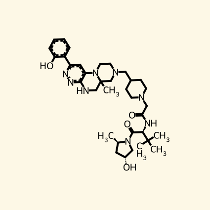 C[C@@H]1C[C@@H](O)CN1C(=O)[C@@H](NC(=O)CN1CCC(CN2CCN3c4cc(-c5ccccc5O)nnc4NCC3(C)C2)CC1)C(C)(C)C